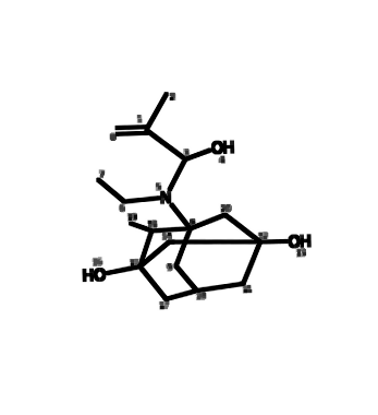 C=C(C)C(O)N(CC)C12CC3CC(O)(CC(O)(C3)C1C)C2